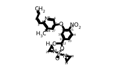 C=C/C=C\c1ncc(Oc2cc(C(C)OP(=O)(N3CC3)N3CC3)ccc2[N+](=O)[O-])cc1C